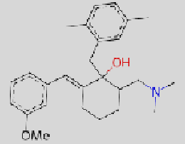 COc1cccc(C=C2CCCC(CN(C)C)C2(O)Cc2cc(C)ccc2C)c1